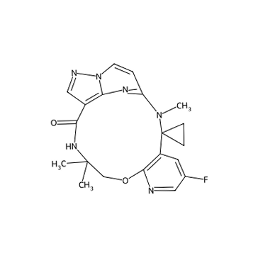 CN1c2ccn3ncc(c3n2)C(=O)NC(C)(C)COc2ncc(F)cc2C12CC2